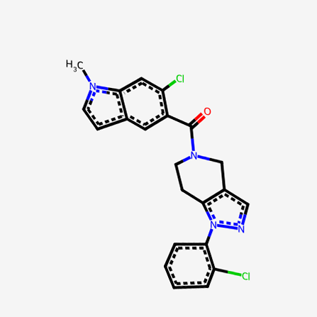 Cn1ccc2cc(C(=O)N3CCc4c(cnn4-c4ccccc4Cl)C3)c(Cl)cc21